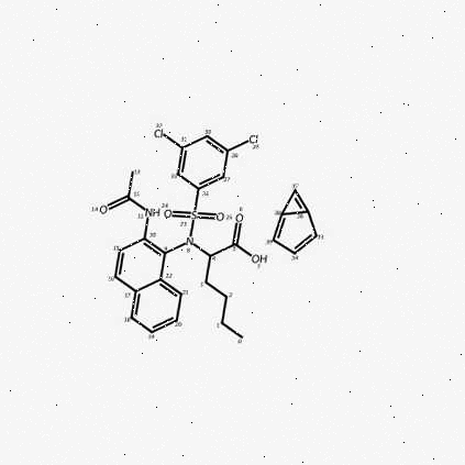 CCCCC(C(=O)O)N(c1c(NC(C)=O)ccc2ccccc12)S(=O)(=O)c1cc(Cl)cc(Cl)c1.c1cc2cc-2c1